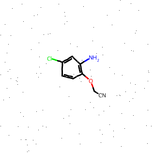 N#CCOc1ccc(Cl)cc1N